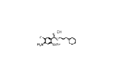 COc1cc(N)c(Cl)cc1C(=O)OCCCN1CCCCC1.Cl